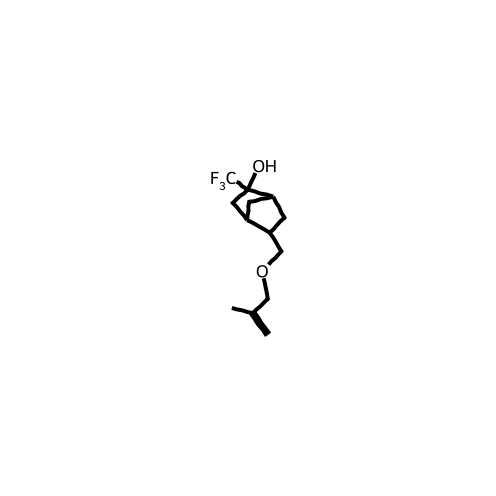 C=C(C)COCC1CC2CC1CC2(O)C(F)(F)F